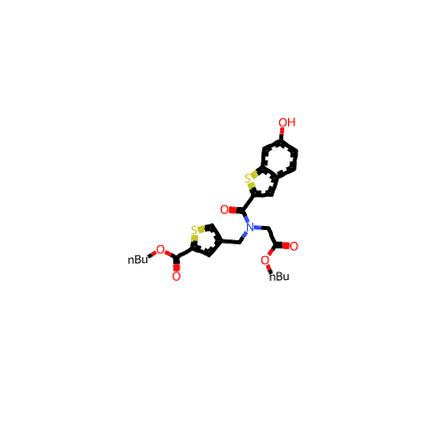 CCCCOC(=O)CN(Cc1csc(C(=O)OCCCC)c1)C(=O)c1cc2ccc(O)cc2s1